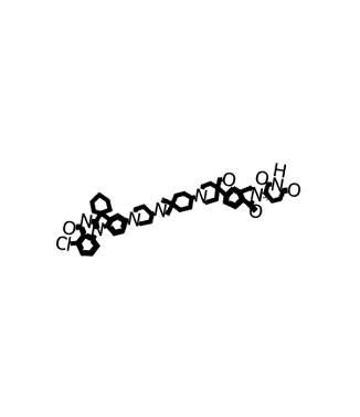 O=C1CC[C@H](N2Cc3c(ccc4c3OCC43CCN(C4CCC5(CC4)CN(C4CCN(c6ccc7c(c6)C6(CCCCC6)c6nc(=O)c8c(Cl)cccc8n6-7)CC4)C5)CC3)C2=O)C(=O)N1